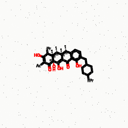 CCCC1CCC(Cc2ccc3c(c2O)C(=O)C2=C(O)[C@@]4(O)C(=O)C(C(C)=O)=C(O)C(C(C)C)[C@@]4(C)[C@H](C)[C@@]2(C)[C@@H]3C)CC1